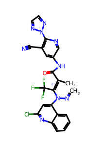 C=NN(/C(=C(\C)C(=O)Nc1cnc(-n2nccn2)c(C#N)c1)C(F)(F)F)c1cc(Cl)nc2ccccc12